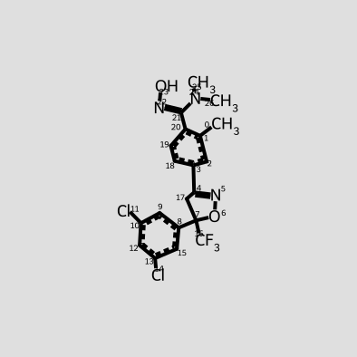 Cc1cc(C2=NOC(c3cc(Cl)cc(Cl)c3)(C(F)(F)F)C2)ccc1C(=NO)N(C)C